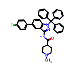 CN1CCC(C(=O)Nc2nn(C(c3ccccc3)(c3ccccc3)c3ccccc3)c3ccc(-c4ccc(F)cc4)cc23)CC1